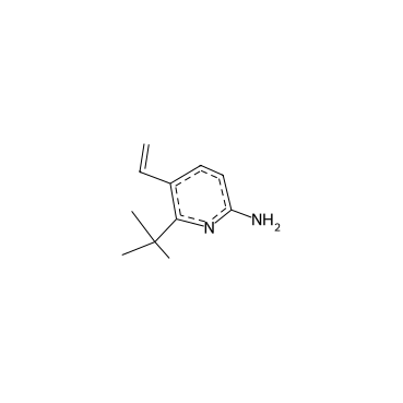 C=Cc1ccc(N)nc1C(C)(C)C